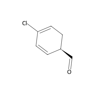 O=C[C@H]1C=CC(Cl)=CC1